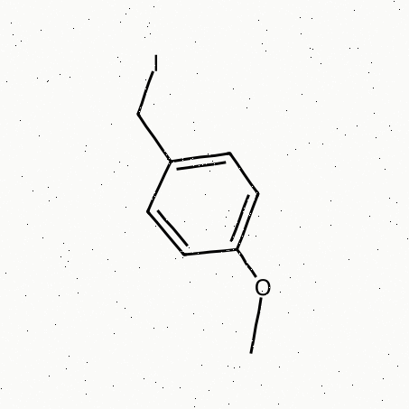 COc1ccc(CI)cc1